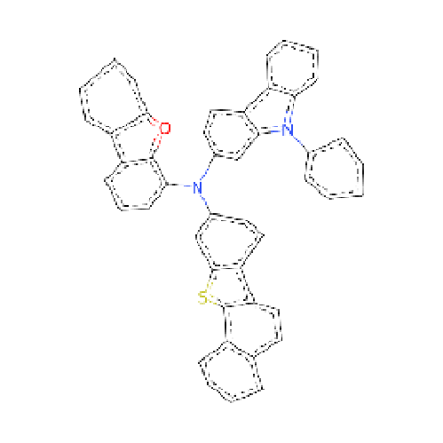 c1ccc(-n2c3ccccc3c3ccc(N(c4ccc5c(c4)sc4c6ccccc6ccc54)c4cccc5c4oc4ccccc45)cc32)cc1